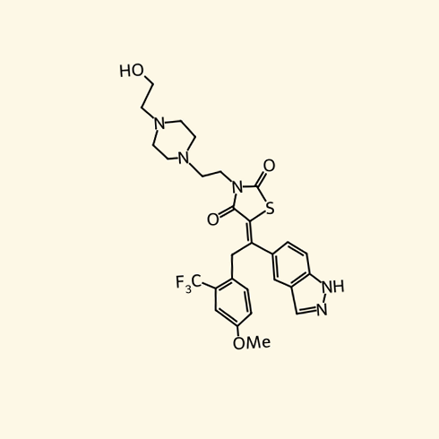 COc1ccc(C/C(=C2/SC(=O)N(CCN3CCN(CCO)CC3)C2=O)c2ccc3[nH]ncc3c2)c(C(F)(F)F)c1